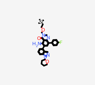 C[Si](C)(C)CCOCn1cnc2c(-c3ccc(F)cc3)cc(-c3cccc4c3cnn4C3CCCCO3)c(N)c2c1=O